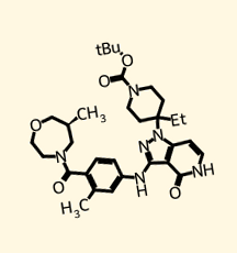 CCC1(n2nc(Nc3ccc(C(=O)N4CCOC[C@@H](C)C4)c(C)c3)c3c(=O)[nH]ccc32)CCN(C(=O)OC(C)(C)C)CC1